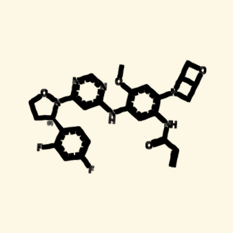 C=CC(=O)Nc1cc(Nc2cc(N3OCC[C@@H]3c3ccc(F)cc3F)ncn2)c(OC)cc1N1CC2OCC21